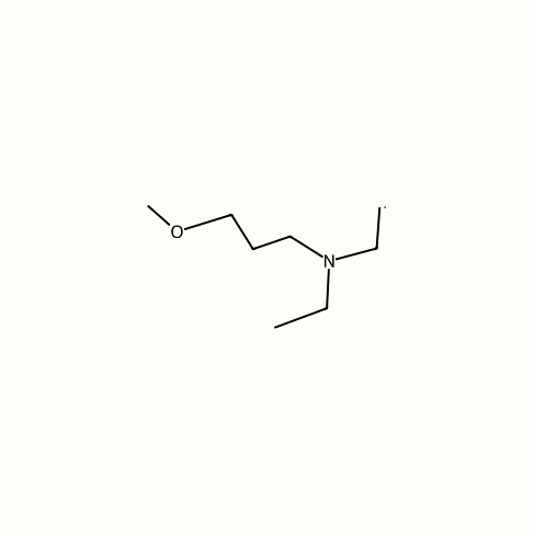 [CH2]CN(CC)CCCOC